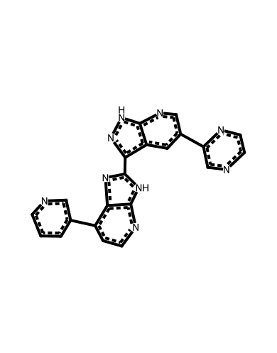 c1cncc(-c2ccnc3[nH]c(-c4n[nH]c5ncc(-c6cnccn6)cc45)nc23)c1